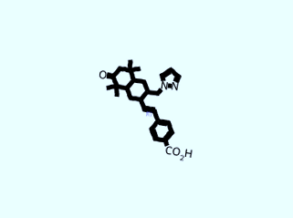 CC1(C)CC(=O)C(C)(C)C2CC(/C=C/c3ccc(C(=O)O)cc3)C(Cn3cccn3)CC21